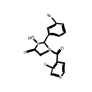 O=C1CN(C(=O)c2ccncc2F)C(c2cccc(Br)c2)N1O